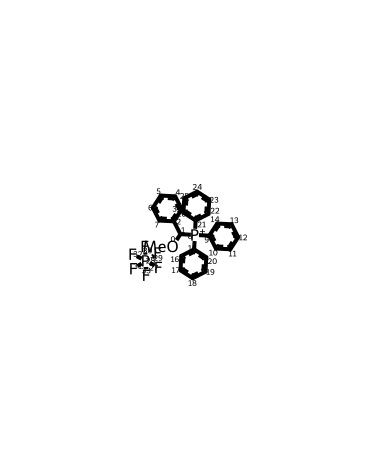 COC(c1ccccc1)[P+](c1ccccc1)(c1ccccc1)c1ccccc1.F[P-](F)(F)(F)(F)F